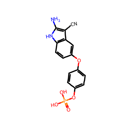 N#Cc1c(N)[nH]c2ccc(Oc3ccc(OP(=O)(O)O)cc3)cc12